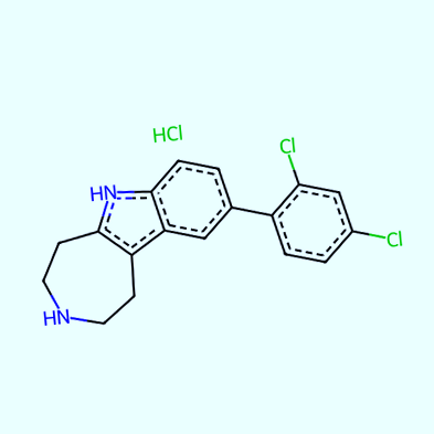 Cl.Clc1ccc(-c2ccc3[nH]c4c(c3c2)CCNCC4)c(Cl)c1